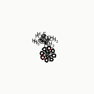 C=C[Si]1(C)O[Si](C)(C=C)O[Si](C)(C=C)O[Si](C)(C=C)O1.c1ccc([Si]2(c3ccccc3)O[Si](c3ccccc3)(c3ccccc3)O[Si](c3ccccc3)(c3ccccc3)O[Si](c3ccccc3)(c3ccccc3)O2)cc1